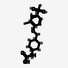 Cc1nc(S(C)(=O)=O)ccc1OCC1CCC(NC(=O)O)CC1